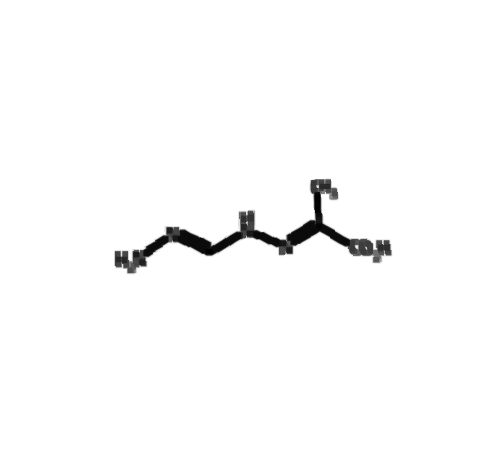 CC(=NNC=NN)C(=O)O